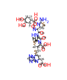 Nc1nc(C(=NOCc2c(C(=O)O)ccc(O)c2O)C(=O)N[C@@H]2C(=O)N3C(C(=O)O)=C(CSc4cc(CC(=O)O)nc5ncnn45)CS[C@H]23)cs1